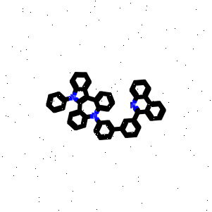 c1ccc(-n2c3c(c4ccccc42)-c2ccccc2N(c2cccc(-c4cccc(-c5nc6ccccc6c6ccccc56)c4)c2)c2ccccc2-3)cc1